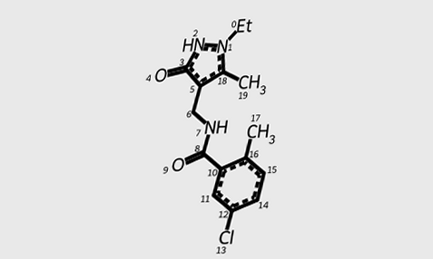 CCn1[nH]c(=O)c(CNC(=O)c2cc(Cl)ccc2C)c1C